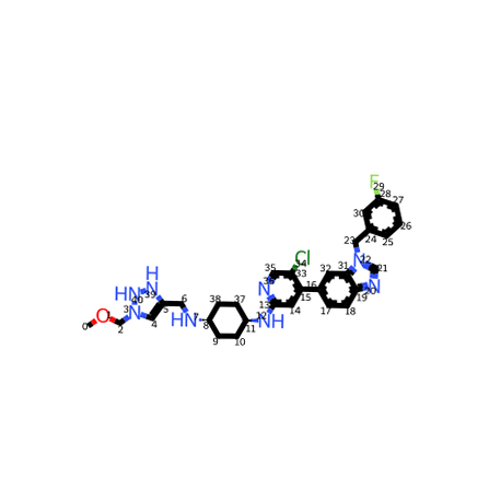 COCN1C=C(CN[C@H]2CC[C@H](Nc3cc(-c4ccc5ncn(Cc6cccc(F)c6)c5c4)c(Cl)cn3)CC2)NN1